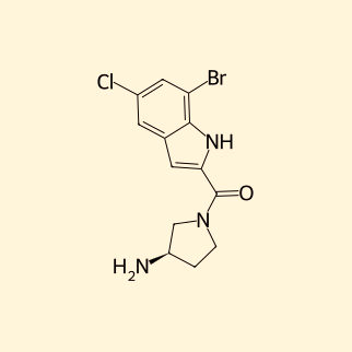 N[C@@H]1CCN(C(=O)c2cc3cc(Cl)cc(Br)c3[nH]2)C1